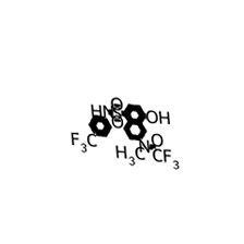 CN(C(=O)C(F)(F)F)C1CCc2c(S(=O)(=O)Nc3ccc(C(F)(F)F)cc3)ccc(O)c2C1